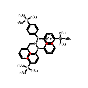 CCCC[Si](CCCC)(CCCC)c1ccc(P(c2ccc([Si](CCCC)(CCCC)CCCC)cc2)N(Cc2ccccc2)P(c2ccc([Si](CCCC)(CCCC)CCCC)cc2)c2ccccc2SC)cc1